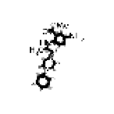 COC(=O)c1cc(N)ccc1NC(C)CN1CCN(c2ccccc2)CC1